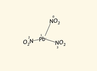 O=[N+]([O-])[Pb]([N+](=O)[O-])[N+](=O)[O-]